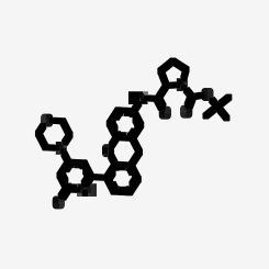 CC(C)(C)OC(=O)N1CCCC1C(=O)Nc1ccc2c(c1)Cc1cccc(-c3cc(N4CCOCC4)cc(=O)[nH]3)c1O2